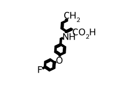 C=C/C=C\C(=C\C(=O)O)NCc1ccc(Oc2ccc(F)cc2)cc1